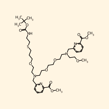 COCCN(CCOCCOCCN(CCOCCCSCCNC(=O)OC(C)(C)C)Cc1cccc(C(=O)OC)n1)Cc1cccc(C(=O)OC)n1